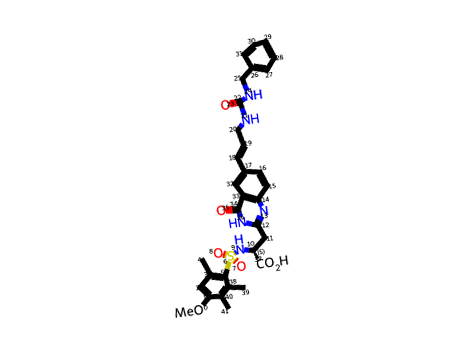 COc1cc(C)c(S(=O)(=O)N[C@@H](Cc2nc3ccc(C=CCNC(=O)NCc4ccccc4)cc3c(=O)[nH]2)C(=O)O)c(C)c1C